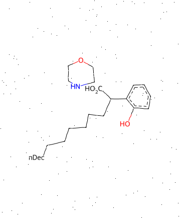 C1COCCN1.CCCCCCCCCCCCCCCCC(C(=O)O)c1ccccc1O